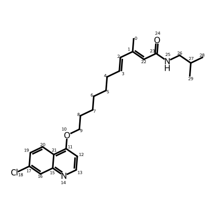 CC(C=CCCCCCCOc1ccnc2cc(Cl)ccc12)=CC(=O)NCC(C)C